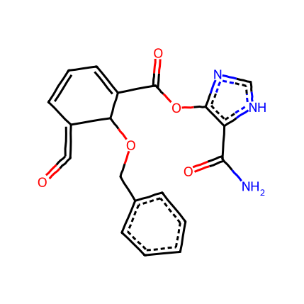 NC(=O)c1[nH]cnc1OC(=O)C1=CC=CC(=C=O)C1OCc1ccccc1